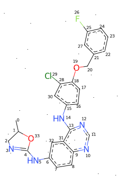 CC1CN=C(Nc2ccc3ncnc(Nc4ccc(OCc5cccc(F)c5)c(Cl)c4)c3c2)O1